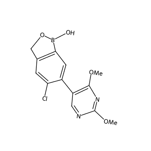 COc1ncc(-c2cc3c(cc2Cl)COB3O)c(OC)n1